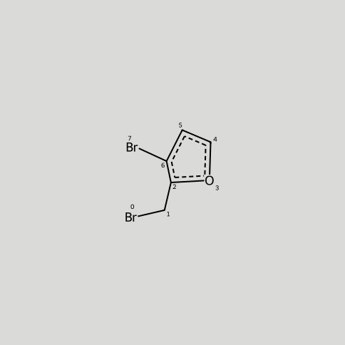 BrCc1occc1Br